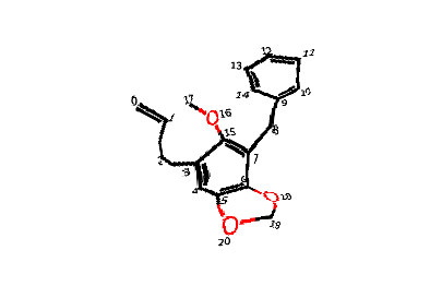 C=CCc1cc2c(c(Cc3ccccc3)c1OC)OCO2